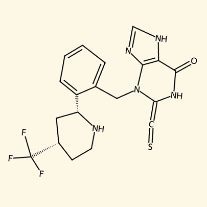 O=C1NC(=C=S)N(Cc2ccccc2[C@H]2C[C@@H](C(F)(F)F)CCN2)c2nc[nH]c21